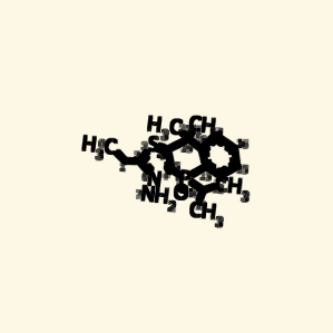 CCc1sc2c([n+]1N)P(=O)(C(C)C)c1ccccc1C2(C)C